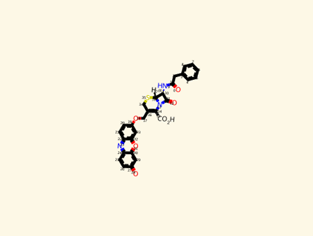 O=C(Cc1ccccc1)N[C@@H]1C(=O)N2C(C(=O)O)=C(COc3ccc4nc5ccc(=O)cc-5oc4c3)CS[C@H]12